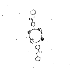 C1=Cc2nc1cc1ccc([nH]1)c(-c1ccc(NCc3ccccc3)cc1)c1nc(cc3ccc([nH]3)c2-c2ccc(NCc3ccccc3)cc2)C=C1